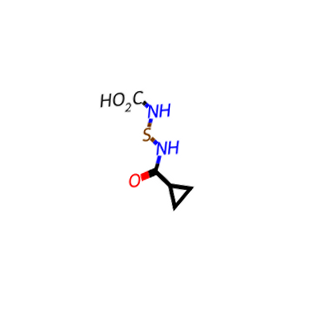 O=C(O)NSNC(=O)C1CC1